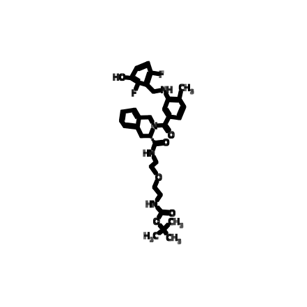 Cc1ccc(C(=O)N2Cc3ccccc3C[C@H]2C(=O)NCCOCCNC(=O)OC(C)(C)C)cc1NCc1c(F)ccc(O)c1F